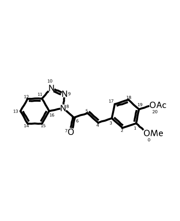 COc1cc(/C=C/C(=O)n2nnc3ccccc32)ccc1OC(C)=O